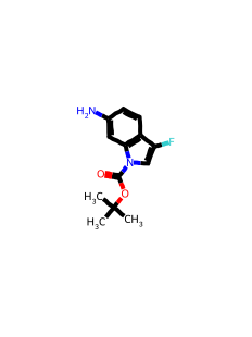 CC(C)(C)OC(=O)n1cc(F)c2ccc(N)cc21